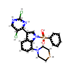 O=S(=O)(c1ccccc1)n1cc(-c2nc(Cl)ncc2Cl)c2cccc(N3CCSCC3)c21